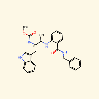 CC(C)(C)OC(=O)N[C@@H](Cc1c[nH]c2ccccc12)C(C#N)Nc1ccccc1C(=O)NCc1ccccc1